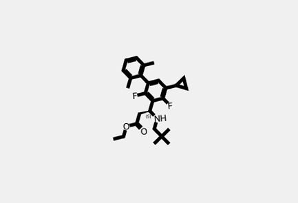 CCOC(=O)C[C@H](NCC(C)(C)C)c1c(F)c(-c2c(C)cccc2C)cc(C2CC2)c1F